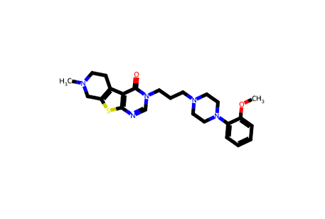 COc1ccccc1N1CCN(CCCn2cnc3sc4c(c3c2=O)CCN(C)C4)CC1